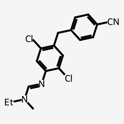 CCN(C)C=Nc1cc(Cl)c(Cc2ccc(C#N)cc2)cc1Cl